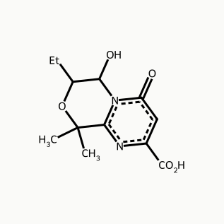 CCC1OC(C)(C)c2nc(C(=O)O)cc(=O)n2C1O